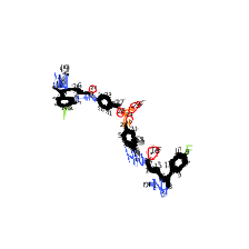 Cn1ncc(-c2ccc(F)cc2)c1/C=C/C(=O)Nc1ccc(CO[PH](=O)OCc2ccc(NC(=O)/C=C/c3c(-c4ccc(F)cc4)cnn3C)cc2)cc1